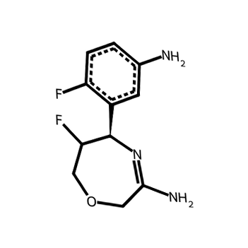 NC1=N[C@H](c2cc(N)ccc2F)C(F)COC1